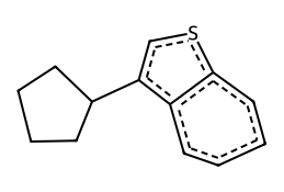 c1ccc2c(C3CCCC3)csc2c1